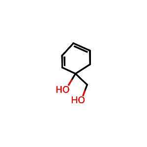 OCC1(O)C=CC=CC1